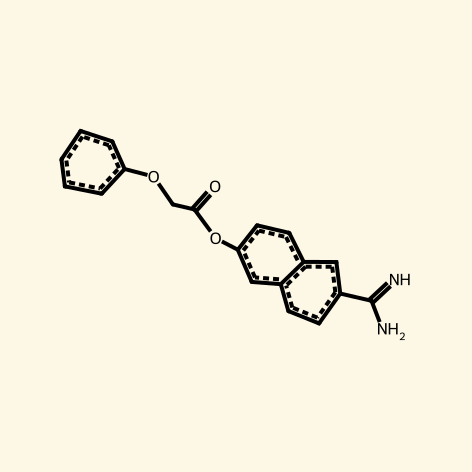 N=C(N)c1ccc2cc(OC(=O)COc3ccccc3)ccc2c1